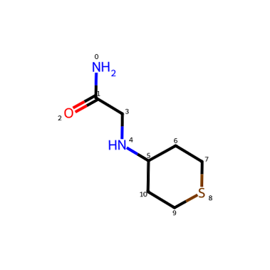 NC(=O)CNC1CCSCC1